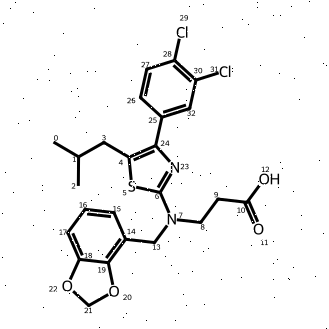 CC(C)Cc1sc(N(CCC(=O)O)Cc2cccc3c2OCO3)nc1-c1ccc(Cl)c(Cl)c1